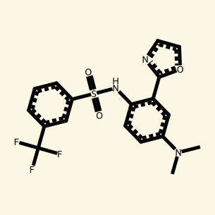 CN(C)c1ccc(NS(=O)(=O)c2cccc(C(F)(F)F)c2)c(-c2ncco2)c1